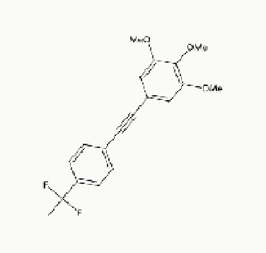 COc1cc(C#Cc2ccc(C(C)(F)F)cc2)cc(OC)c1OC